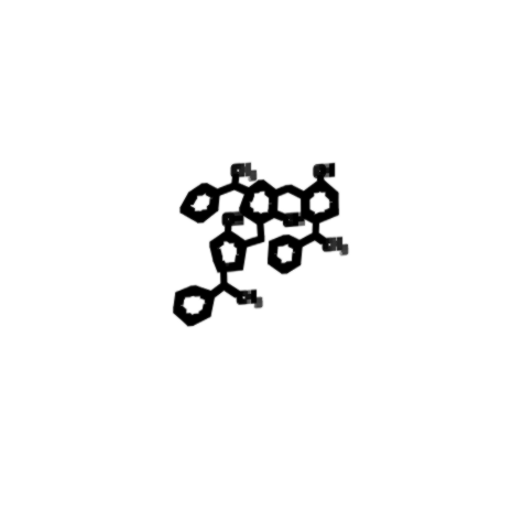 CC(c1ccccc1)c1ccc(O)c(Cc2cc(C(C)c3ccccc3)cc(Cc3cc(C(C)c4ccccc4)ccc3O)c2O)c1